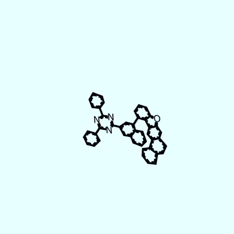 c1ccc(-c2nc(-c3ccccc3)nc(-c3cc(-c4cccc5oc6cc7ccc8ccccc8c7cc6c45)c4ccccc4c3)n2)cc1